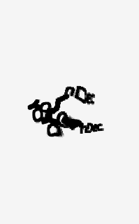 C=C(C)C(=O)OC(CCCCCCCCCCCCC)=C(C)C(=O)OCCCCCCCCCCCC